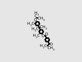 Cc1cc(C(C)(C)c2ccc(OC(C)C)c(C)c2)ccc1OC(=O)c1ccc(C(=O)C(C)C)cc1